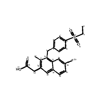 CCS(=O)(=O)c1ccc(Cc2c(C)c(CC(=O)O)cc3ccc(F)cc23)cc1